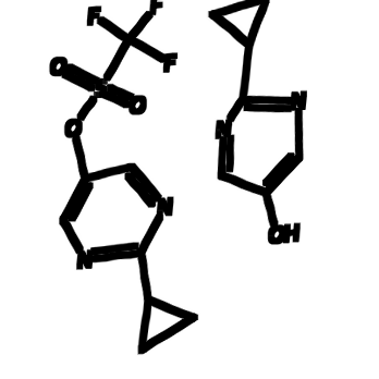 O=S(=O)(Oc1cnc(C2CC2)nc1)C(F)(F)F.Oc1cnc(C2CC2)nc1